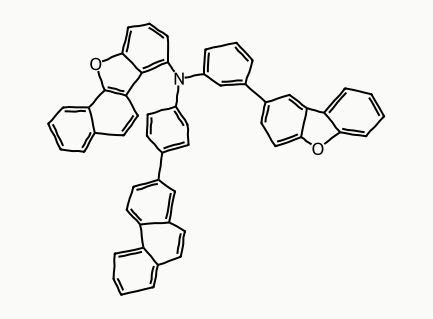 c1cc(-c2ccc3oc4ccccc4c3c2)cc(N(c2ccc(-c3ccc4c(ccc5ccccc54)c3)cc2)c2cccc3oc4c5ccccc5ccc4c23)c1